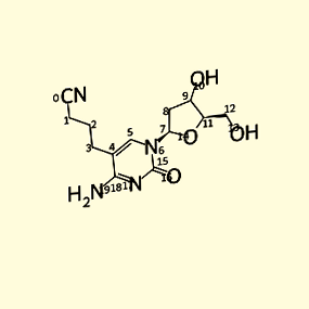 N#CCCCc1cn([C@H]2CC(O)[C@@H](CO)O2)c(=O)nc1N